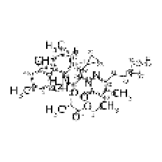 CCOC(=O)CC.Cc1cc(C)c(-c2cc(C)c(F)c([C@H](C3CC3)[C@@H](C(N)=O)n3nc(CCN4CC(F)C4)c(C)cc3=O)c2)c(C)c1